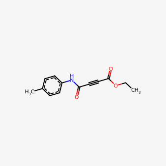 CCOC(=O)C#CC(=O)Nc1ccc(C)cc1